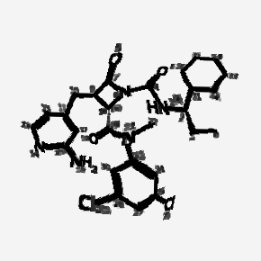 CC[C@@H](NC(=O)N1C(=O)C(Cc2ccnc(N)c2)[C@H]1C(=O)N(C)c1cc(Cl)cc(Cl)c1)C1CCCCC1